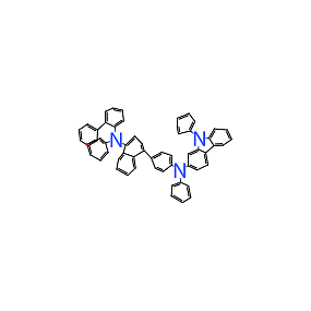 c1ccc(-c2ccccc2N(c2ccccc2)c2ccc(-c3ccc(N(c4ccccc4)c4ccc5c6ccccc6n(-c6ccccc6)c5c4)cc3)c3ccccc23)cc1